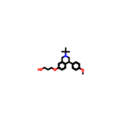 COc1ccc(C2CN(C(C)(C)C)Cc3cc(OCCCO)ccc32)cc1